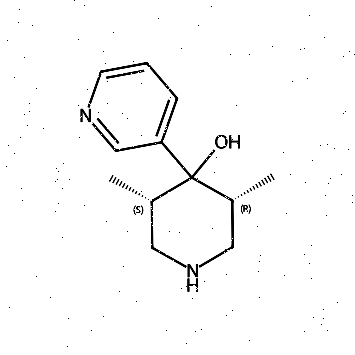 C[C@@H]1CNC[C@H](C)C1(O)c1cccnc1